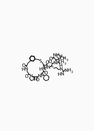 CC(C)(C)[C@H](NC(=O)[C@H](CCCNC(=N)N)NC(=O)[C@@H]1CSCc2cccc(c2)CC(=O)NCC(=O)N2CCC[C@H]2C(=O)N[C@@H](C2CCCCC2)C(=O)N1)C(N)=O